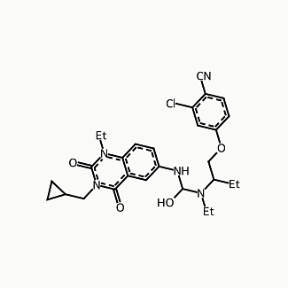 CCC(COc1ccc(C#N)c(Cl)c1)N(CC)C(O)Nc1ccc2c(c1)c(=O)n(CC1CC1)c(=O)n2CC